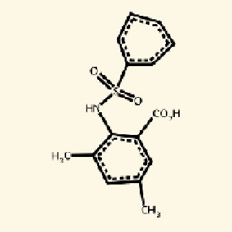 Cc1cc(C)c(NS(=O)(=O)c2ccccc2)c(C(=O)O)c1